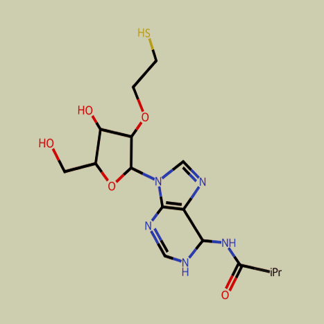 CC(C)C(=O)NC1NC=Nc2c1ncn2C1OC(CO)C(O)C1OCCS